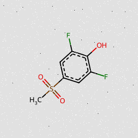 CS(=O)(=O)c1cc(F)c(O)c(F)c1